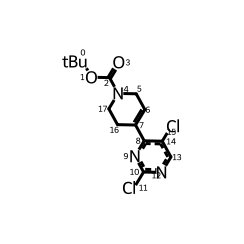 CC(C)(C)OC(=O)N1CC=C(c2nc(Cl)ncc2Cl)CC1